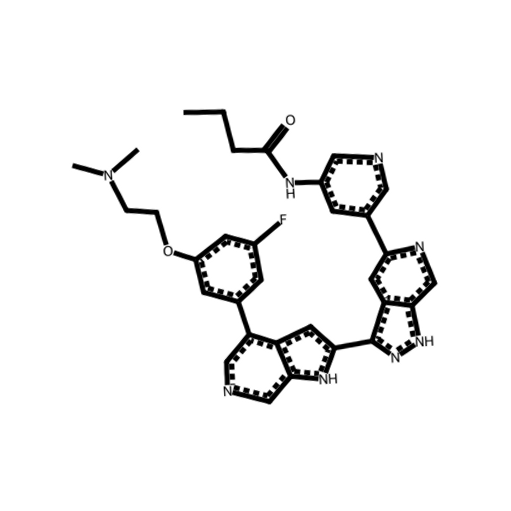 CCCC(=O)Nc1cncc(-c2cc3c(-c4cc5c(-c6cc(F)cc(OCCN(C)C)c6)cncc5[nH]4)n[nH]c3cn2)c1